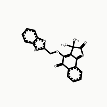 CC1(C)C(=O)N=C2C1=C(OCc1nc3ccccc3[nH]1)C(=O)c1ccccc12